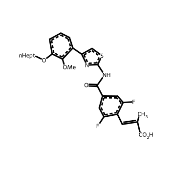 CCCCCCCOc1cccc(-c2csc(NC(=O)c3cc(F)c(/C=C(\C)C(=O)O)c(F)c3)n2)c1OC